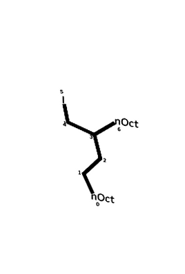 CCCCCCCCCCC([CH]I)CCCCCCCC